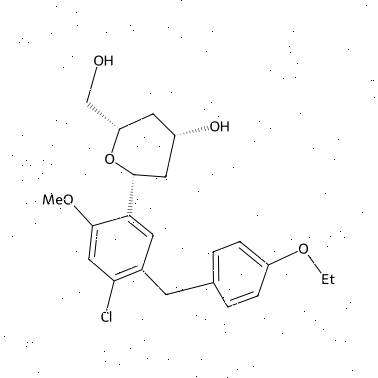 CCOc1ccc(Cc2cc([C@H]3C[C@@H](O)C[C@@H](CO)O3)c(OC)cc2Cl)cc1